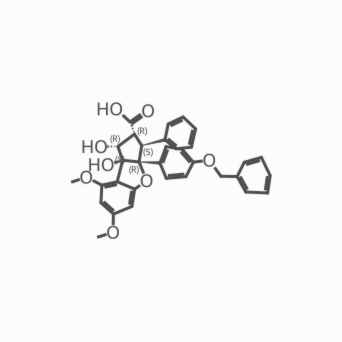 COc1cc(OC)c2c(c1)O[C@@]1(c3ccc(OCc4ccccc4)cc3)[C@H](c3ccccc3)[C@@H](C(=O)O)[C@@H](O)[C@@]21O